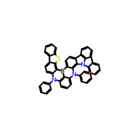 c1ccc(N2c3cccc4c3B(c3ccc5c6cccc7c8ccccc8n(c5c3N4c3ccccc3)c76)c3c2ccc2c3sc3ccccc32)cc1